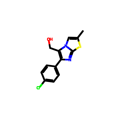 Cc1cn2c(CO)c(-c3ccc(Cl)cc3)nc2s1